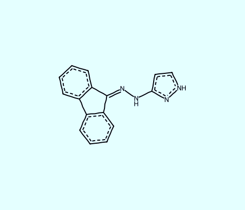 c1ccc2c(c1)C(=NNc1cc[nH]n1)c1ccccc1-2